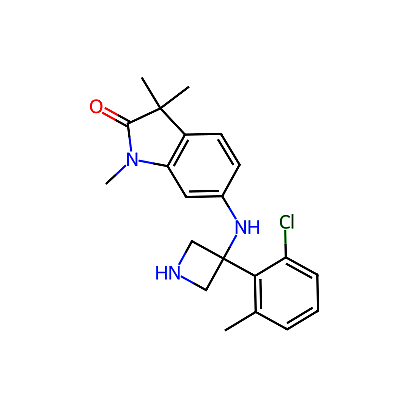 Cc1cccc(Cl)c1C1(Nc2ccc3c(c2)N(C)C(=O)C3(C)C)CNC1